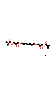 C=C(C)C(=O)OCC(O)COCCCCCCCOCC(O)COC(=O)C(=C)C